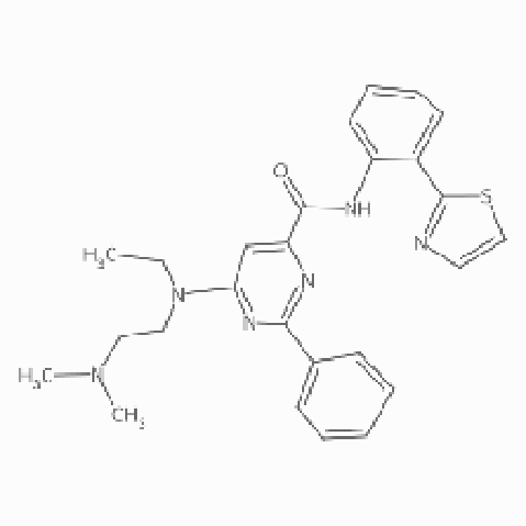 CCN(CCN(C)C)c1cc(C(=O)Nc2ccccc2-c2nccs2)nc(-c2ccccc2)n1